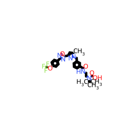 Cc1cc(-c2nc(-c3ccc(OC(F)(F)F)cc3)no2)nn1Cc1cccc(C(=O)NCCN(C(=O)O)C(C)(C)C)c1